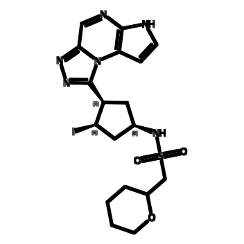 O=S(=O)(CC1CCCCO1)N[C@H]1C[C@@H](I)[C@@H](c2nnc3cnc4[nH]ccc4n23)C1